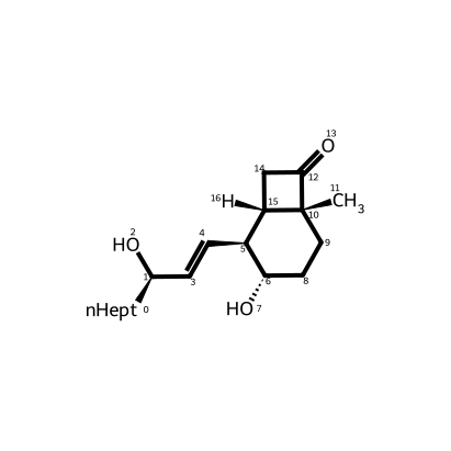 CCCCCCC[C@@H](O)/C=C/[C@@H]1[C@@H](O)CC[C@@]2(C)C(=O)C[C@@H]12